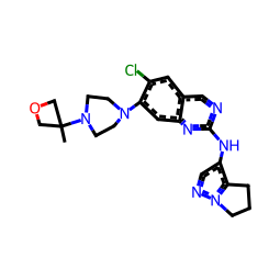 CC1(N2CCN(c3cc4nc(Nc5cnn6c5CCC6)ncc4cc3Cl)CC2)COC1